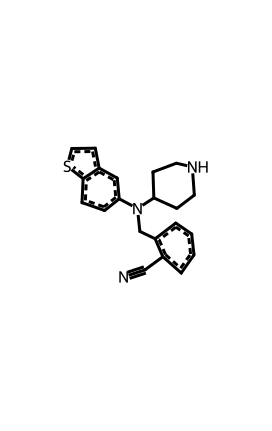 N#Cc1ccccc1CN(c1ccc2sccc2c1)C1CCNCC1